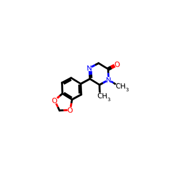 CC1C(c2ccc3c(c2)OCO3)=NCC(=O)N1C